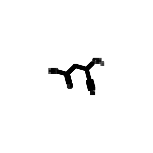 CC(C#N)CC(=O)O